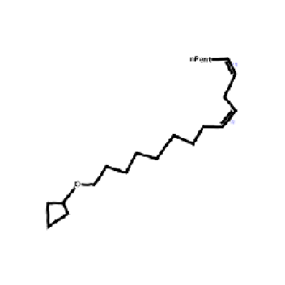 CCCCC/C=C\C/C=C\CCCCCCCCOC1CCC1